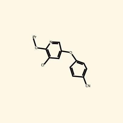 CC(C)Oc1ncc(Oc2ccc(C#N)cc2)cc1Cl